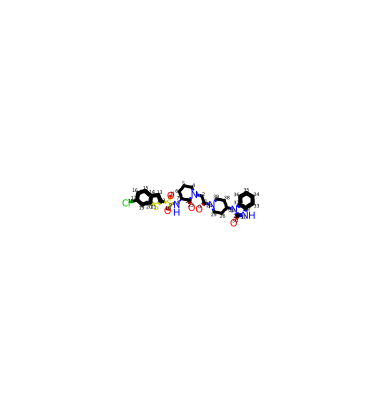 O=C(CN1CCC[C@H](NS(=O)(=O)c2cc3ccc(Cl)cc3s2)C1=O)N1CCC(n2c(=O)[nH]c3ccccc32)CC1